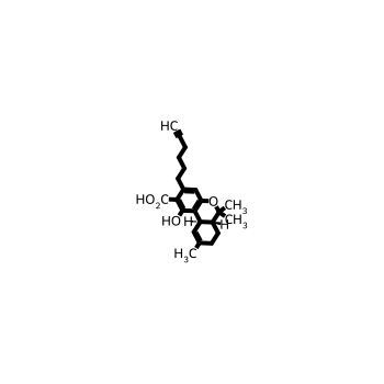 C#CCCCCc1cc2c(c(O)c1C(=O)O)[C@@H]1C=C(C)CC[C@H]1C(C)(C)O2